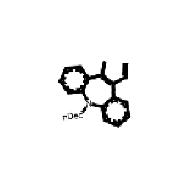 C=CC1=C(C)c2ccccc2N(CCCCCCCCCC)c2ccccc21